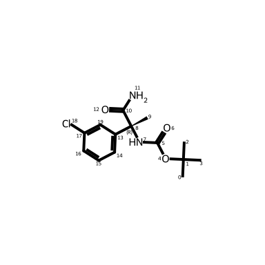 CC(C)(C)OC(=O)N[C@@](C)(C(N)=O)c1cccc(Cl)c1